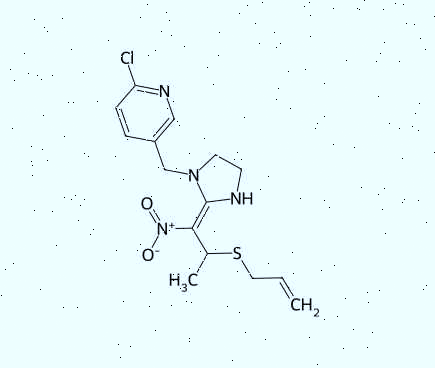 C=CCSC(C)C(=C1NCCN1Cc1ccc(Cl)nc1)[N+](=O)[O-]